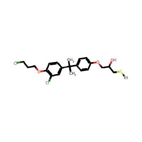 CCSCC(O)COc1ccc(C(C)(C)c2ccc(OCCCCl)c(Cl)c2)cc1